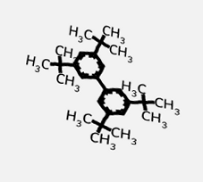 CC(C)(C)c1cc(-c2cc(C(C)(C)C)cc(C(C)(C)C)c2)cc(C(C)(C)C)c1